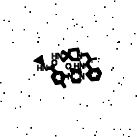 Cc1ccc(C(=O)NC2CC2)cc1-n1ccnc(N[C@@H](c2ccccc2)[C@H](C)CN2CCC3(CC2)CNC3)c1=O